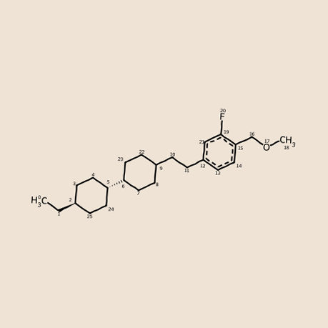 CC[C@H]1CC[C@H](C2CCC(CCc3ccc(COC)c(F)c3)CC2)CC1